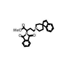 COC(=O)C(CCN1CCC2(C=Cc3ccccc32)CC1)N1C(=O)c2ccccc2C1=O